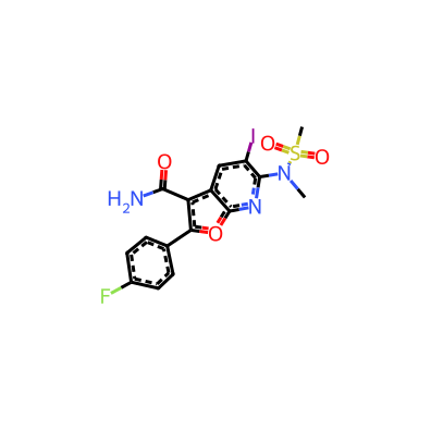 CN(c1nc2oc(-c3ccc(F)cc3)c(C(N)=O)c2cc1I)S(C)(=O)=O